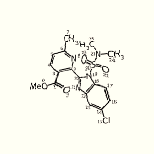 COC(=O)c1ccc(C)nc1-c1nc2cc(Cl)ccc2n1S(=O)(=O)N(C)C